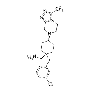 NC[C@]1(Cc2cccc(Cl)c2)CC[C@H](N2CCn3c(nnc3C(F)(F)F)C2)CC1